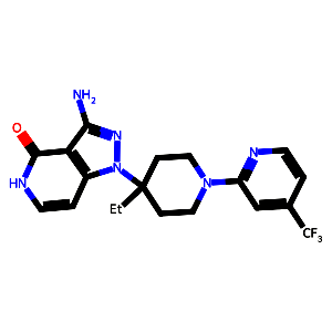 CCC1(n2nc(N)c3c(=O)[nH]ccc32)CCN(c2cc(C(F)(F)F)ccn2)CC1